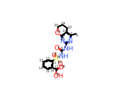 Cc1nc(NC(=O)NS(=O)(=O)c2ccccc2C(=O)O)nc2c1CCCO2